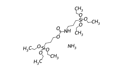 CCO[Si](CCCNC(=O)OCCC[Si](OCC)(OCC)OCC)(OCC)OCC.N